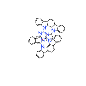 C1=CC2c3ccccc3N(c3nc(-c4ccccc4)nc(-n4c5ccccc5c5ccc6c7ccccc7n(-c7ccccc7)c6c54)n3)C2c2c1c1ccccc1n2-c1ccccc1